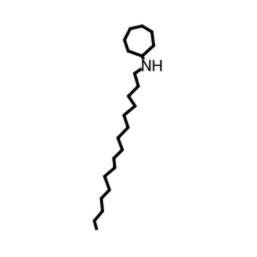 CCCCCCCCCCCCCCCCNC1CCCCCC1